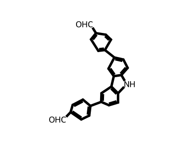 O=Cc1ccc(-c2ccc3[nH]c4ccc(-c5ccc(C=O)cc5)cc4c3c2)cc1